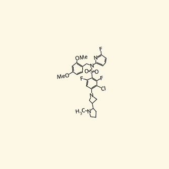 COc1ccc(CN(c2cccc(F)n2)S(=O)(=O)c2c(F)cc(N3CC(C4CCCN4C)C3)c(Cl)c2F)c(OC)c1